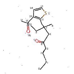 CCCCC(=O)CC(C)(CC)c1sccc1C(C)=O